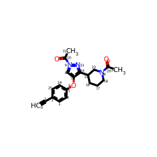 C#Cc1ccc(Oc2cn(C(C)=O)nc2C2CCCN(C(C)=O)C2)cc1